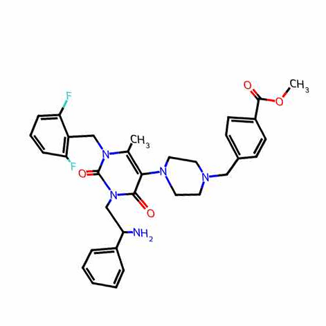 COC(=O)c1ccc(CN2CCN(c3c(C)n(Cc4c(F)cccc4F)c(=O)n(CC(N)c4ccccc4)c3=O)CC2)cc1